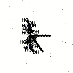 CCCCCCCCCCCOCC1C2CC(C(O[C@@H]3OC(CO)[C@@H](O[C@@H](O)/C(O)=C(\O)[C@H](O)CCO)C(O)C3O)C2O[C@@H]2OC(CO)[C@@H](O[C@@H](O)/C(O)=C(\O)[C@H](O)CCO)C(O)C2O)C1(C)COCCCCCCCCCCC